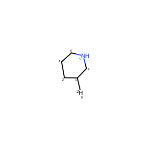 [2H]C1CCCNC1